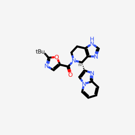 CC(C)(C)c1ncc(C(=O)N2CCc3[nH]cnc3[C@@H]2c2cn3ccccc3n2)o1